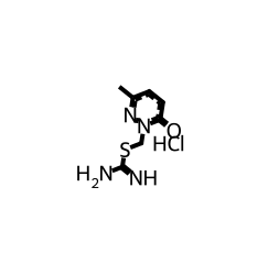 Cc1ccc(=O)n(CSC(=N)N)n1.Cl